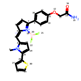 Cn1c(/C=C2/C=CC(c3ccc(OCC(N)=O)cc3)=[N+]2B(F)F)ccc1-c1cccs1